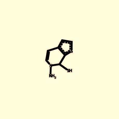 NN1C=Cc2ccsc2C1S